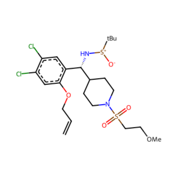 C=CCOc1cc(Cl)c(Cl)cc1[C@H](N[S+]([O-])C(C)(C)C)C1CCN(S(=O)(=O)CCOC)CC1